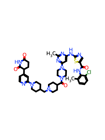 Cc1nc(Nc2ncc(C(=O)Nc3c(C)cccc3Cl)s2)cc(N2CCN(C(=O)C3CCN(CC4CCN(c5cc(C6CCC(=O)NC6=O)ccn5)CC4)CC3)CC2)n1